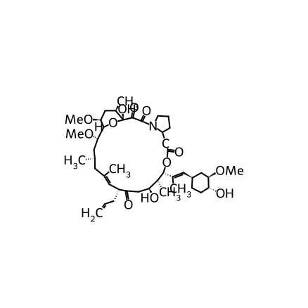 C=CC[C@@H]1/C=C(\C)C[C@H](C)C[C@H](OC)[C@H]2O[C@@](O)(C(=O)C(=O)N3CCCC3CC(=O)O[C@H](/C(C)=C/[C@@H]3CC[C@@H](O)[C@H](OC)C3)[C@H](C)[C@@H](O)CC1=O)[C@H](C)C[C@@H]2OC